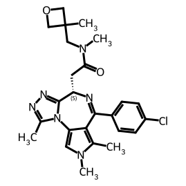 Cc1c2c(cn1C)-n1c(C)nnc1[C@H](CC(=O)N(C)CC1(C)COC1)N=C2c1ccc(Cl)cc1